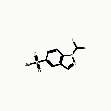 CC(C)(C)S(=O)(=O)c1ccc2c(cnn2C(F)F)c1